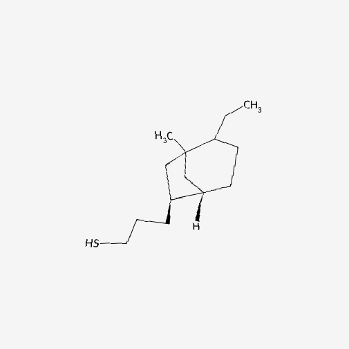 CCC1CC[C@H]2CC1(C)C[C@@H]2CCCS